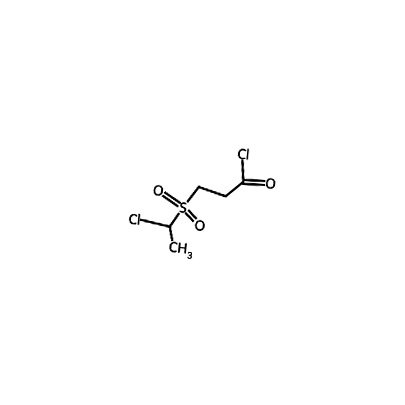 CC(Cl)S(=O)(=O)CCC(=O)Cl